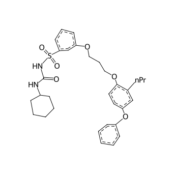 CCCc1cc(Oc2ccccc2)ccc1OCCCOc1cccc(S(=O)(=O)NC(=O)NC2CCCCC2)c1